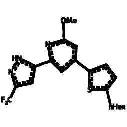 CCCCCCc1ccc(-c2cc(OC)nc(-c3cc(C(F)(F)F)n[nH]3)c2)s1